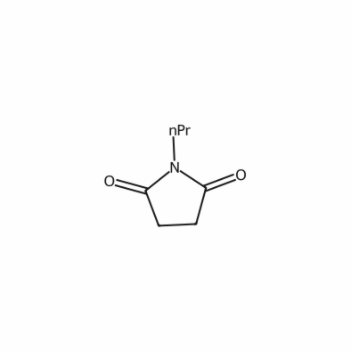 C[CH]CN1C(=O)CCC1=O